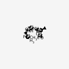 Cc1ccc(F)c([C@H]2C[C@@H]2C(=O)Nc2cc(NCc3cn4cc(C5CC5)cc(N5CC(=O)N(C)C5=O)c4n3)ncn2)n1